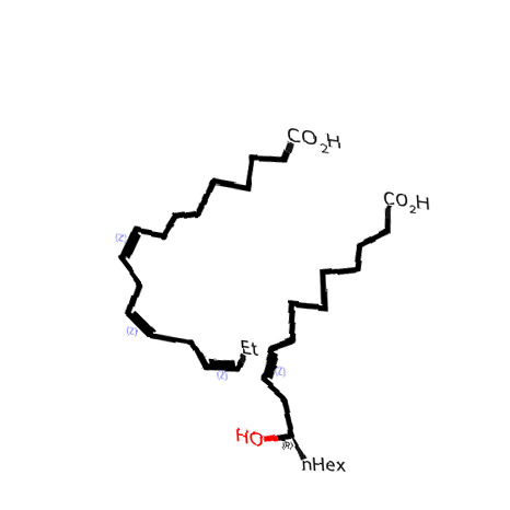 CC/C=C\C/C=C\C/C=C\CCCCCCCC(=O)O.CCCCCC[C@@H](O)C/C=C\CCCCCCCC(=O)O